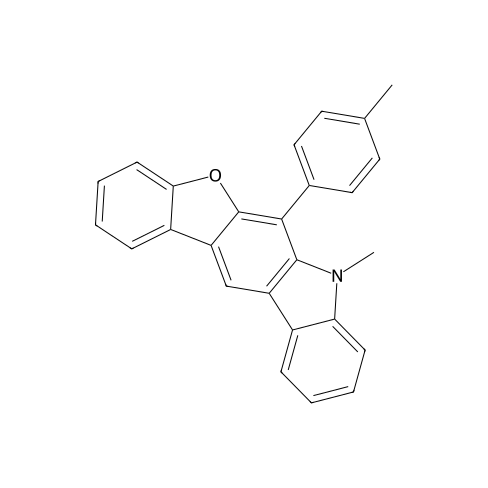 Cc1ccc(-c2c3oc4ccccc4c3cc3c4ccccc4n(C)c23)cc1